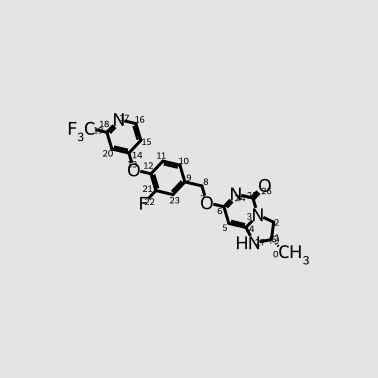 C[C@H]1Cn2c(cc(OCc3ccc(Oc4ccnc(C(F)(F)F)c4)c(F)c3)nc2=O)N1